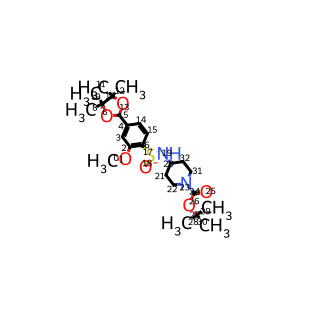 COc1cc(C2OC(C)(C)C(C)(C)O2)ccc1[S+]([O-])NC1CCN(C(=O)OC(C)(C)C)CC1